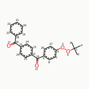 CC(C)(C)OOc1ccc(C(=O)c2ccc(C(=O)c3ccccc3)cc2)cc1